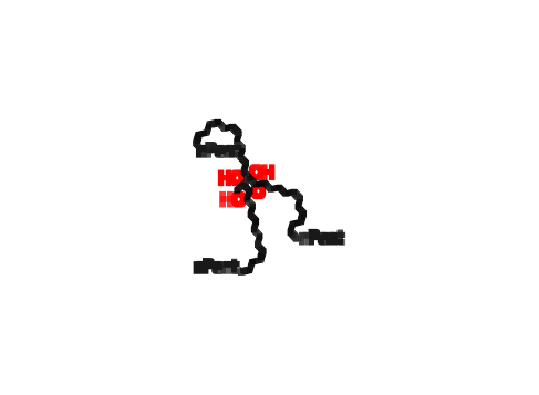 CCCCC/C=C\C/C=C\C/C=C\CCCCCC(O)(CCCCC/C=C\C/C=C\C/C=C\CCCCC)C(O)(CO)C(=O)CCCCCCC/C=C\C/C=C\CCCCC